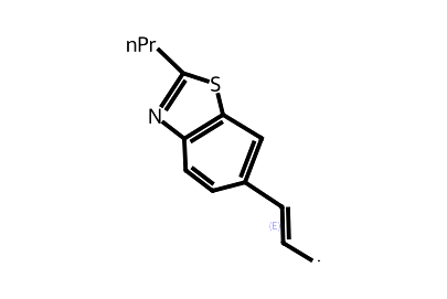 [CH2]/C=C/c1ccc2nc(CCC)sc2c1